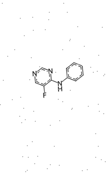 Fc1cncnc1Nc1ccccc1